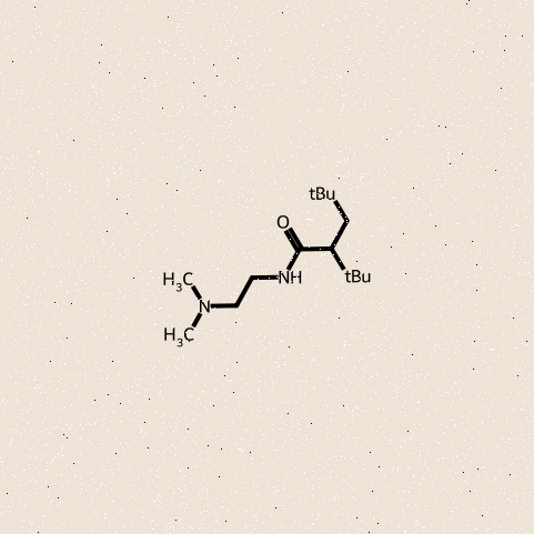 CN(C)CCNC(=O)C(CC(C)(C)C)C(C)(C)C